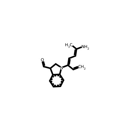 C=C/C(=C\C=C(/C)N)N1CC(C=O)c2ccccc21